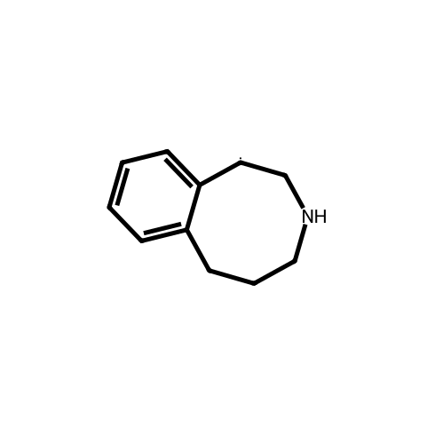 [CH]1CNCCCc2ccccc21